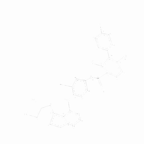 C[C@@H](CO)Cn1ccc2ncnc(Oc3ccc(NC(=O)c4ccc(Cl)c(-c5ccc(F)cc5)[n+]4O)cc3F)c21